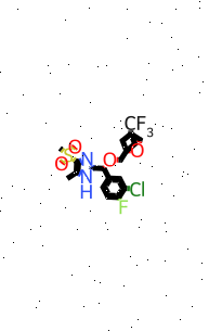 Cc1[nH]c(C(OCC23CC(C(F)(F)F)(CO2)C3)c2ccc(F)c(Cl)c2)nc1S(C)(=O)=O